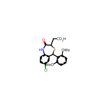 COc1cccc(OC)c1C1SC(CC(=O)O)C(=O)Nc2ccc(Cl)cc21